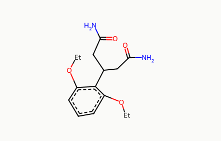 CCOc1cccc(OCC)c1C(CC(N)=O)CC(N)=O